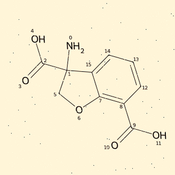 NC1(C(=O)O)COc2c(C(=O)O)cccc21